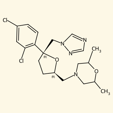 CC1CN(C[C@H]2CC[C@](Cn3cncn3)(c3ccc(Cl)cc3Cl)O2)CC(C)O1